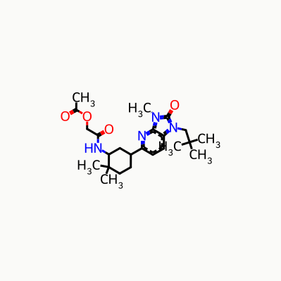 CC(=O)OCC(=O)NC1CC(c2ccc3c(n2)n(C)c(=O)n3CC(C)(C)C)CCC1(C)C